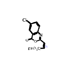 CCOC(=O)/C=C\c1nc2ccc(Cl)cc2c(=O)o1